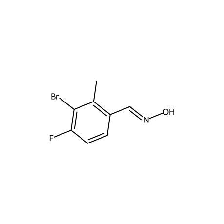 Cc1c(C=NO)ccc(F)c1Br